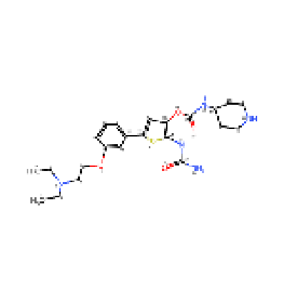 CCN(CC)CCOc1cccc(-c2cc(OC(=O)NC3CCNCC3)c(NC(N)=O)s2)c1